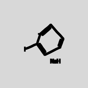 Ic1[c]cccc1.[NaH]